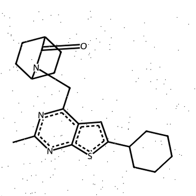 Cc1nc(CN2C(=O)C3CCC2CC3)c2cc(C3CCCCC3)sc2n1